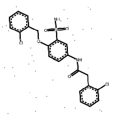 NS(=O)(=O)c1cc(NC(=O)Cc2ccccc2Cl)ccc1OCc1ccccc1Cl